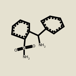 NC(c1ccccc1)c1ccccc1S(N)(=O)=O